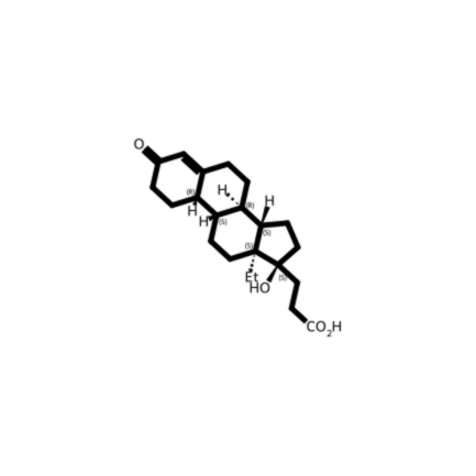 CC[C@]12CC[C@H]3[C@@H](CCC4=CC(=O)CC[C@@H]43)[C@@H]1CC[C@]2(O)CCC(=O)O